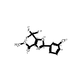 COC(=O)c1nc(-c2cccc(Cl)c2)oc1C(F)(F)F